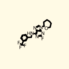 Fc1nc(NCc2cccc(C(F)(F)F)c2)c2ncn(C3CCCCCO3)c2n1